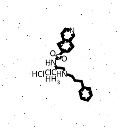 CC(CNCCCc1ccccc1)NS(=O)(=O)c1ccc2cnccc2c1.Cl.Cl